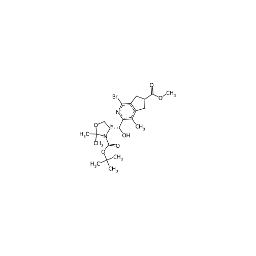 COC(=O)C1Cc2c(Br)nc(C(O)[C@H]3COC(C)(C)N3C(=O)OC(C)(C)C)c(C)c2C1